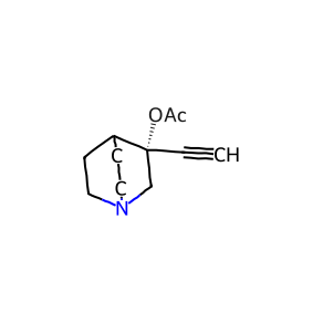 C#C[C@@]1(OC(C)=O)CN2CCC1CC2